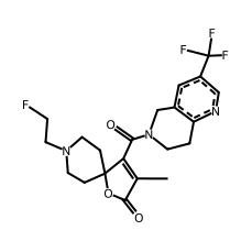 CC1=C(C(=O)N2CCc3ncc(C(F)(F)F)cc3C2)C2(CCN(CCF)CC2)OC1=O